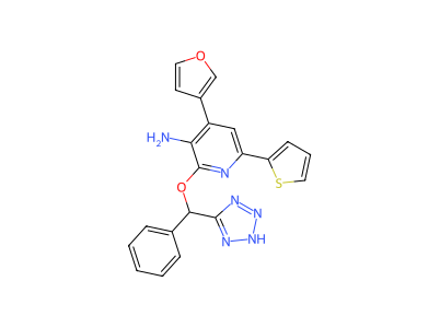 Nc1c(-c2ccoc2)cc(-c2cccs2)nc1OC(c1ccccc1)c1nn[nH]n1